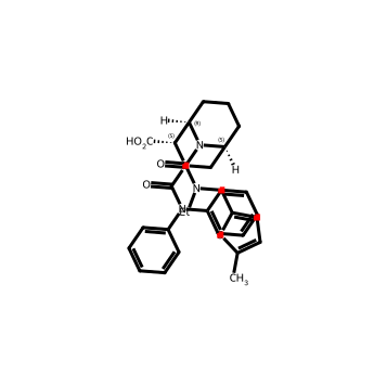 CCN(Cc1ccc(C)s1)C(=O)N1[C@H]2CCC[C@@H]1[C@@H](C(=O)O)N(C(=O)N(c1ccccc1)c1ccccc1)C2